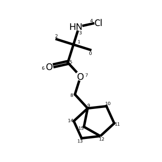 CC(C)(NCl)C(=O)OCC12CCC(CC1)C2